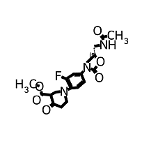 COC(=O)C1CN(c2ccc(N3C[C@H](CNC(C)=O)OC3=O)cc2F)CCC1=O